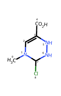 CN1C=C(C(=O)O)NNC1Cl